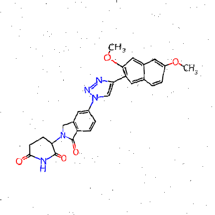 COc1ccc2cc(-c3cn(-c4ccc5c(c4)CN(C4CCC(=O)NC4=O)C5=O)nn3)c(OC)cc2c1